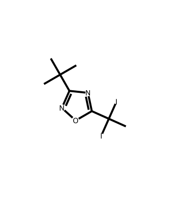 CC(C)(C)c1noc(C(C)(I)I)n1